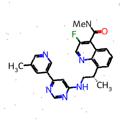 CNC(=O)c1c(F)cnc2c([C@H](C)CNc3cc(-c4cncc(C)c4)ncn3)cccc12